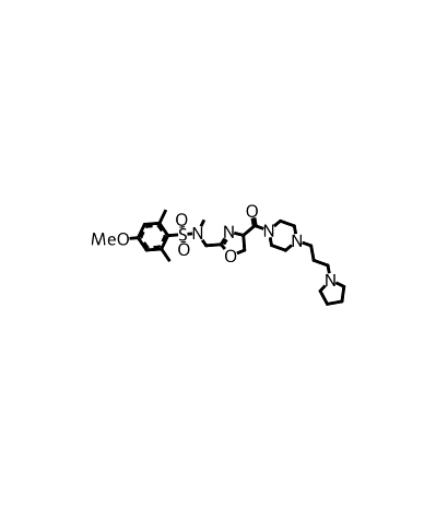 COc1cc(C)c(S(=O)(=O)N(C)CC2=NC(C(=O)N3CCN(CCCN4CCCC4)CC3)CO2)c(C)c1